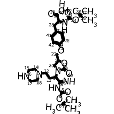 CC(C)(C)OC(=O)NC(=N)C(CCN1CCNCC1)N1CC(COc2ccc(CC(NC(=O)OC(C)(C)C)C(=O)O)cc2)OC1=O